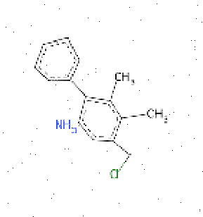 Cc1c(CCl)ccc(-c2ccccc2)c1C.N